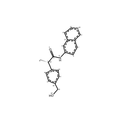 [CH2][C@H](C(=O)Nc1ccc2cnccc2c1)c1ccc(CO)cc1